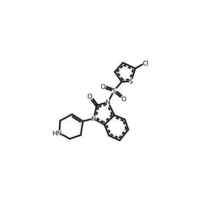 O=c1n(C2=CCNCC2)c2ccccc2n1S(=O)(=O)c1ccc(Cl)s1